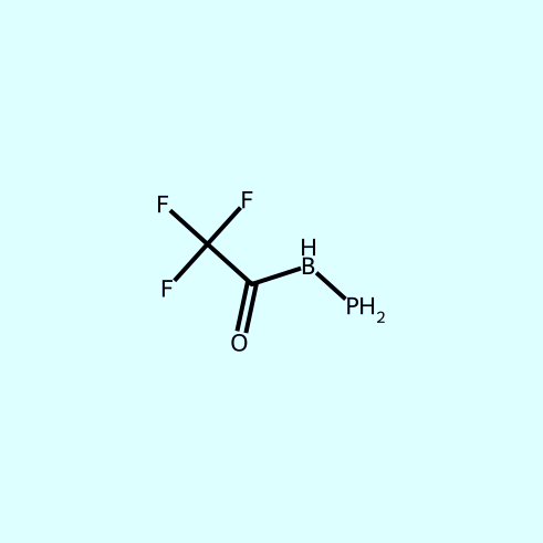 O=C(BP)C(F)(F)F